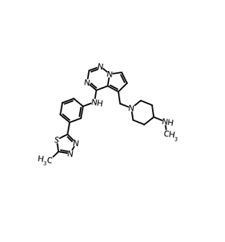 CNC1CCN(Cc2ccn3ncnc(Nc4cccc(-c5nnc(C)s5)c4)c23)CC1